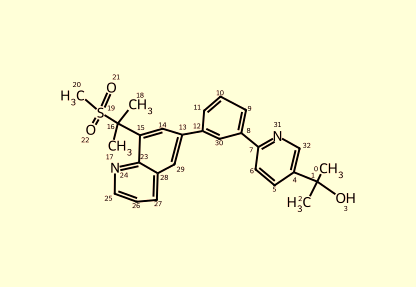 CC(C)(O)c1ccc(-c2cccc(-c3cc(C(C)(C)S(C)(=O)=O)c4ncccc4c3)c2)nc1